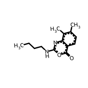 CCCCNc1nc2c(C)c(C)ccc2c(=O)o1